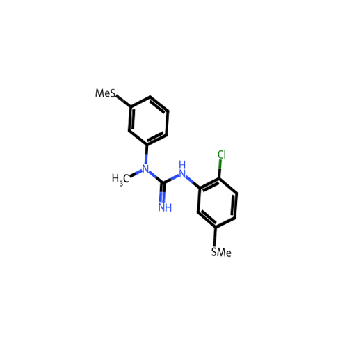 CSc1cccc(N(C)C(=N)Nc2cc(SC)ccc2Cl)c1